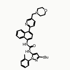 Cc1ccccc1-n1nc(C(C)(C)C)cc1NC(=O)Nc1ccc(-c2ccc(CN3CCOCC3)cn2)c2ccccc12